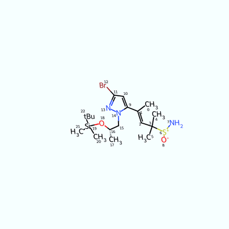 C/C(=C\C(C)(C)[S+](N)[O-])c1cc(Br)nn1C[C@H](C)O[Si](C)(C)C(C)(C)C